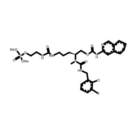 COP(=O)(OC)OCCNC(=O)NCCC[C@@H](COC(=O)Nc1cc2ccccc2cn1)N(C)C(=O)NCc1cccc(F)c1Cl